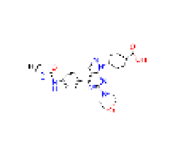 CNC(=O)Nc1ccc(-c2nc(N3CCOCC3)nc3c2cnn3C2CCC(C(=O)O)CC2)cc1